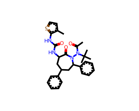 CC(=O)N(N1C(=O)C(NC(=O)Nc2sccc2C)CC(c2ccccc2)CC1c1ccccc1)C(C)(C)C